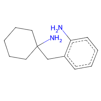 Nc1ccccc1CC1(N)CCCCC1